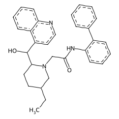 CCC1CCC(C(O)c2ccnc3ccccc23)N(CC(=O)Nc2ccccc2-c2ccccc2)C1